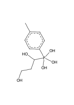 Cc1ccc(P(O)(O)(O)C(O)CCO)cc1